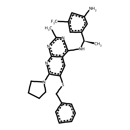 Cc1nc(N[C@H](C)c2cc(N)cc(C(F)(F)F)c2)c2cc(SCc3ccccc3)c(N3CCCC3)nc2n1